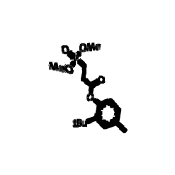 COP(=O)(CCC(=O)Oc1ccc(C)cc1C(C)(C)C)OC